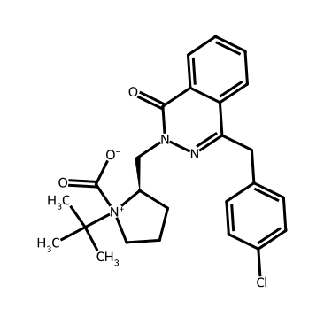 CC(C)(C)[N+]1(C(=O)[O-])CCC[C@@H]1Cn1nc(Cc2ccc(Cl)cc2)c2ccccc2c1=O